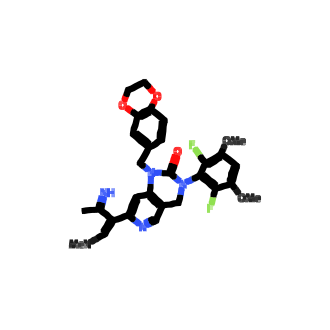 CN/C=C(\C(C)=N)c1cc2c(cn1)CN(c1c(F)c(OC)cc(OC)c1F)C(=O)N2Cc1ccc2c(c1)OCCO2